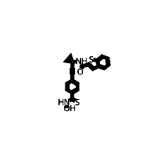 O=C(NC1(C#Cc2ccc(C(=S)NO)cc2)CC1)c1cc2ccccc2s1